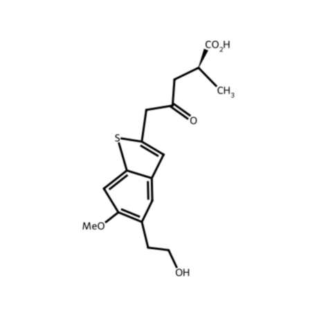 COc1cc2sc(CC(=O)C[C@H](C)C(=O)O)cc2cc1CCO